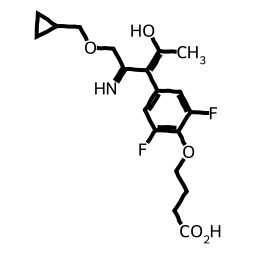 C/C(O)=C(/C(=N)COCC1CC1)c1cc(F)c(OCCCC(=O)O)c(F)c1